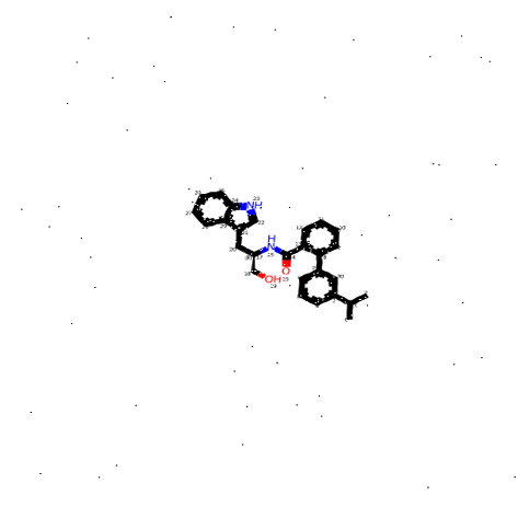 CC(C)c1cccc(-c2ccccc2C(=O)N[C@@H](CO)Cc2c[nH]c3ccccc23)c1